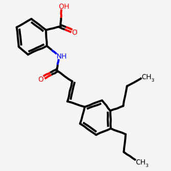 CCCc1ccc(C=CC(=O)Nc2ccccc2C(=O)O)cc1CCC